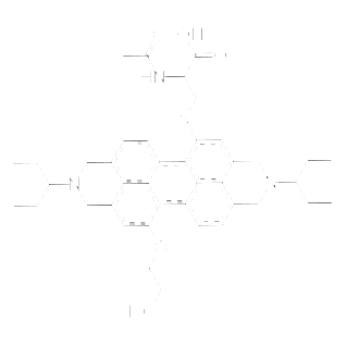 CCC(CC)N1Cc2ccc3c4c(SCC(NC(C)=O)C(=O)O)cc5c6c(ccc(c7c(OCCO)cc(c2c37)C1)c64)CN(C(CC)CC)C5